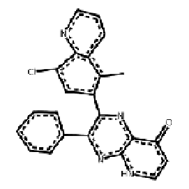 Cc1c(-c2nc3c(=O)cc[nH]c3nc2-c2ccccc2)cc(Cl)c2ncccc12